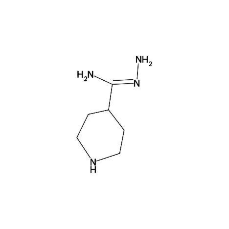 N/N=C(\N)C1CCNCC1